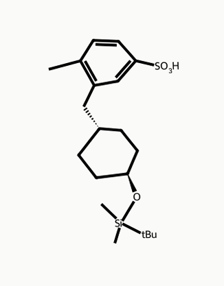 Cc1ccc(S(=O)(=O)O)cc1C[C@H]1CC[C@H](O[Si](C)(C)C(C)(C)C)CC1